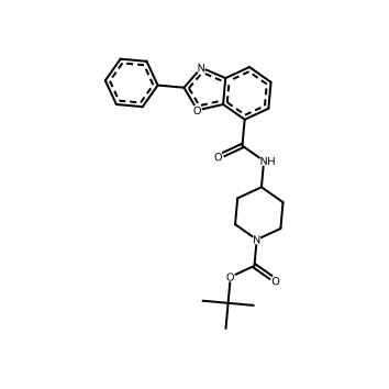 CC(C)(C)OC(=O)N1CCC(NC(=O)c2cccc3nc(-c4ccccc4)oc23)CC1